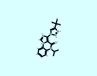 CC(C)n1c(=O)c2c(-n3cc(C(C)(C)C)nn3)ncn2c2ccccc21